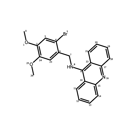 COc1cc(Br)c(CNc2c3ccccc3nc3ccccc23)cc1OC